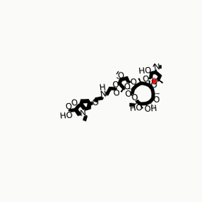 CC[C@@H]1OC(=O)[C@H](C)[C@H](O[C@@H]2C[C@](C)(OC)[C@H](OC(=O)CCNCCOc3ccc4c(=O)c(C(=O)O)cn(CC)c4c3)[C@H](C)O2)[C@@H](C)[C@H](O[C@@H]2O[C@H](C)C[C@H](N(C)C)[C@@H]2O)[C@](C)(OC)C[C@H](C)C(=O)[C@H](C)[C@@H](O)[C@]1(C)O